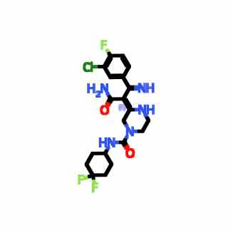 N=C(/C(C(N)=O)=C1/CN(C(=O)NC2CCC(F)(F)CC2)CCN1)c1ccc(F)c(Cl)c1